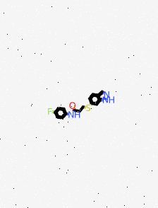 O=C(CCSc1ccc2cn[nH]c2c1)Nc1ccc(F)cc1